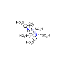 CC[N+]1=C(/C=C/C=C2/N(CCCS(=O)(=O)O)c3ccc(S(=O)(=O)O)cc3C2(C)CCCC(=O)O)C(C)(CCCS(=O)(=O)O)c2cc(S(=O)(=O)O)ccc21